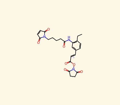 CCc1ccc(/C=C/C(=O)ON2C(=O)CCC2=O)cc1NC(=O)CCCCN1C(=O)C=CC1=O